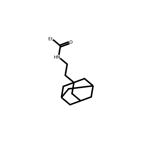 CCC(=O)NCCC12CC3CC(CC(C3)C1)C2